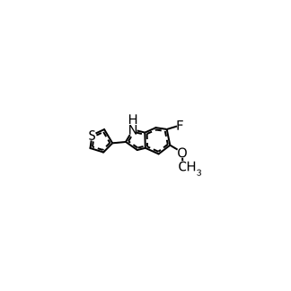 COc1cc2cc(-c3ccsc3)[nH]c2cc1F